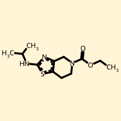 CCOC(=O)N1CCc2sc(NC(C)C)nc2C1